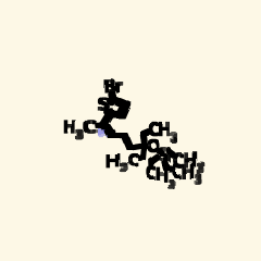 CCC(CC)(CC/C=C(/C)c1ccc(Br)s1)O[Si](CC)(CC)CC